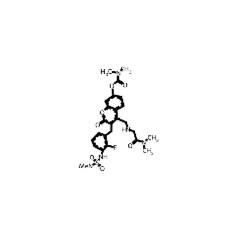 CNS(=O)(=O)Nc1cccc(Cc2c(CNCC(=O)N(C)C)c3ccc(OC(=O)N(C)C)cc3oc2=O)c1F